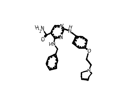 NC(=O)c1cnc(Nc2ccc(OCCN3CCCC3)cc2)nc1NCc1ccccc1